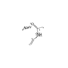 [CH]=CNC(C)=O.[NaH]